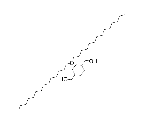 CCCCCCCCCCCCCCOCCCCCCCCCCCCCC.OCC1CCC(CO)CC1